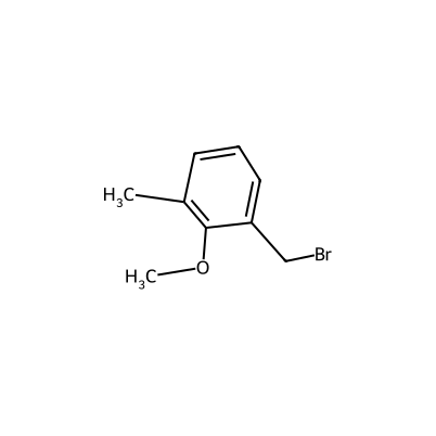 COc1c(C)cccc1CBr